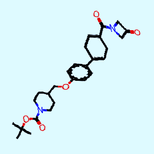 CC(C)(C)OC(=O)N1CCC(COc2ccc(C3=CCC(C(=O)N4CC(=O)C4)CC3)cc2)CC1